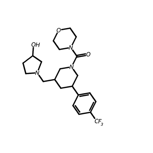 O=C(N1CCOCC1)N1CC(CN2CCC(O)C2)CC(c2ccc(C(F)(F)F)cc2)C1